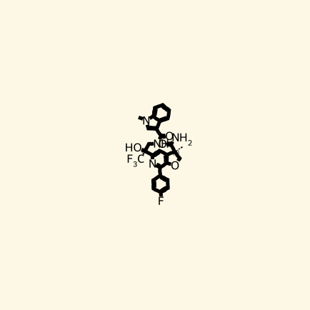 Cn1cc(C(=O)NC[C@](O)(c2cc3c(c(-c4ccc(F)cc4)n2)OC[C@]3(C)C(N)=O)C(F)(F)F)c2ccccc21